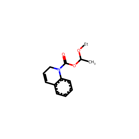 CCOC(C)OC(=O)N1CC=Cc2ccccc21